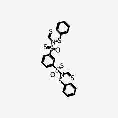 O=S(=S)(c1cccc(S(=O)(=S)N(C=S)Sc2ccccc2)c1)N(C=S)Sc1ccccc1